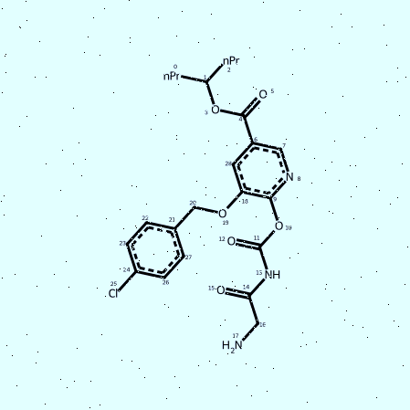 CCCC(CCC)OC(=O)c1cnc(OC(=O)NC(=O)CN)c(OCc2ccc(Cl)cc2)c1